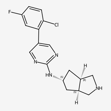 Fc1ccc(Cl)c(-c2cnc(N[C@@H]3C[C@H]4CNC[C@H]4C3)nc2)c1